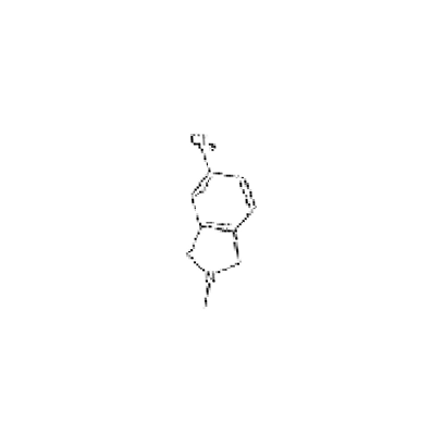 CN1Cc2ccc(C(F)(F)F)cc2C1